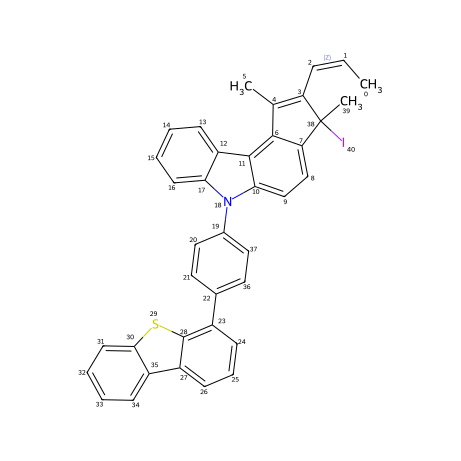 C/C=C\C1=C(C)c2c(ccc3c2c2ccccc2n3-c2ccc(-c3cccc4c3sc3ccccc34)cc2)C1(C)I